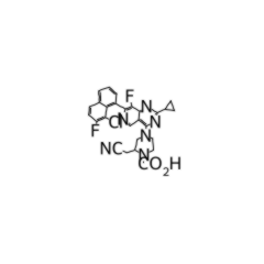 N#CCC1CN(c2nc(C3CC3)nc3c(F)c(-c4cccc5ccc(F)c(Cl)c45)ncc23)CCN1C(=O)O